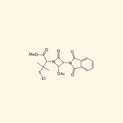 COC(=O)C(N1C(=O)C(N2C(=O)c3ccccc3C2=O)C1OC(C)=O)C(C)(C)SCl